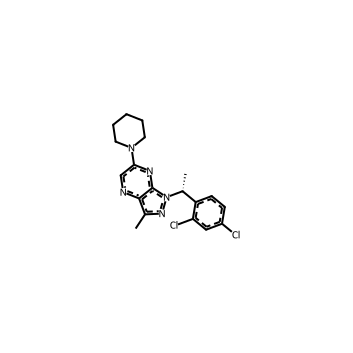 Cc1nn([C@H](C)c2ccc(Cl)cc2Cl)c2nc(N3CCCCC3)cnc12